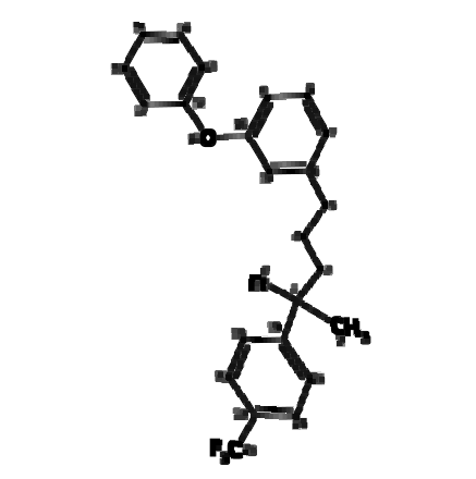 CCC(C)(CCCc1cccc(Oc2ccccc2)c1)c1ccc(C(F)(F)F)cc1